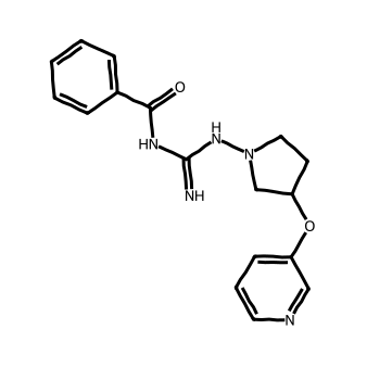 N=C(NC(=O)c1ccccc1)NN1CCC(Oc2cccnc2)C1